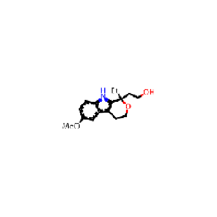 CCC1(CCO)OCCc2c1[nH]c1ccc(OC)cc21